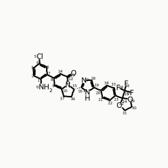 Nc1ccc(Cl)cc1-c1cc2n(c(=O)c1)[C@H](c1ncc(-c3ccc(C4(C(F)(F)F)OCCO4)cc3)[nH]1)CC2